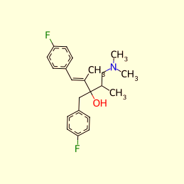 CC(=Cc1ccc(F)cc1)C(O)(Cc1ccc(F)cc1)C(C)CN(C)C